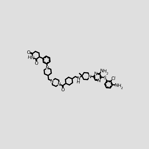 CC1(NCC2CCC(C(=O)N3CCN(CC4CCN(c5cccc(C6CCC(=O)NC6=O)c5)CC4)CC3)CC2)CCN(c2cnc(Sc3cccc(N)c3Cl)c(N)n2)CC1